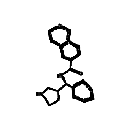 O=C(N[C@@H](c1ccccc1)[C@H]1CCNC1)c1ccc2cnccc2c1